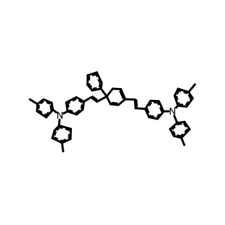 Cc1ccc(N(c2ccc(C)cc2)c2ccc(C=CC3=CCC(C=Cc4ccc(N(c5ccc(C)cc5)c5ccc(C)cc5)cc4)(c4ccccc4)C=C3)cc2)cc1